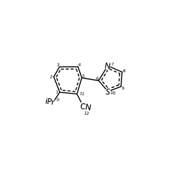 CC(C)c1cccc(-c2nccs2)c1C#N